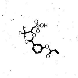 C=CC(=O)Oc1cccc(C(=O)OC(CS(=O)(=O)O)C(F)(F)F)c1